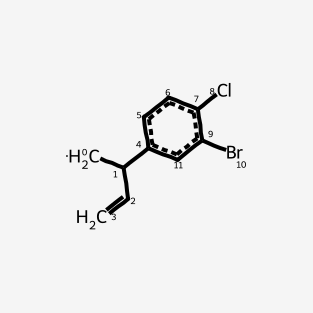 [CH2]C(C=C)c1ccc(Cl)c(Br)c1